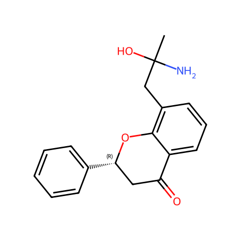 CC(N)(O)Cc1cccc2c1O[C@@H](c1ccccc1)CC2=O